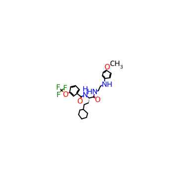 COc1ccc(NCCNC(=O)[C@H](CCC2CCCCC2)NC(=O)c2cccc(OC(F)(F)F)c2)cc1